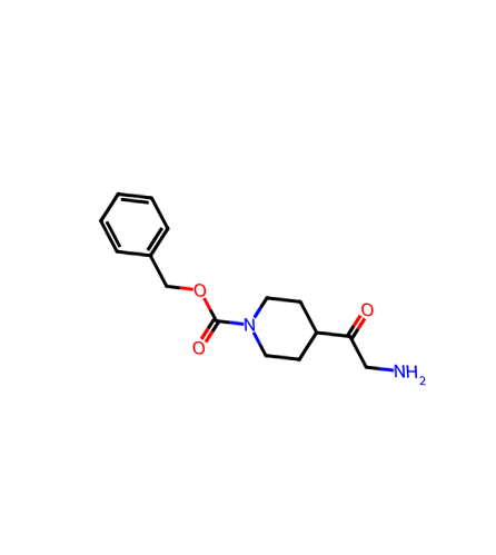 NCC(=O)C1CCN(C(=O)OCc2ccccc2)CC1